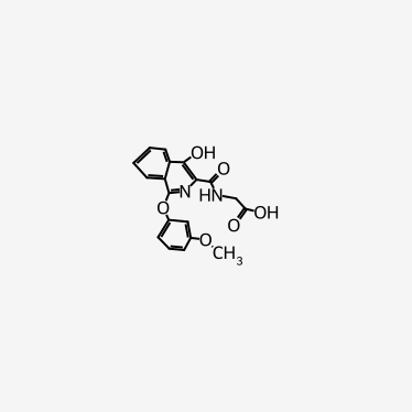 COc1cccc(Oc2nc(C(=O)NCC(=O)O)c(O)c3ccccc23)c1